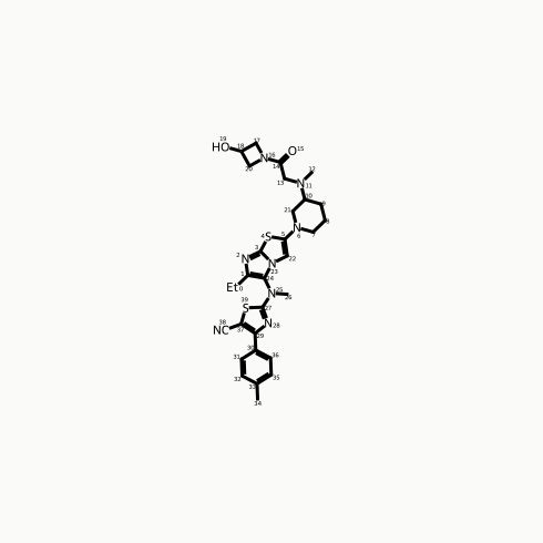 CCc1nc2sc(N3CCCC(N(C)CC(=O)N4CC(O)C4)C3)cn2c1N(C)c1nc(-c2ccc(C)cc2)c(C#N)s1